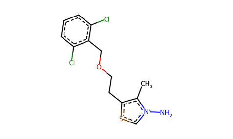 Cc1c(CCOCc2c(Cl)cccc2Cl)sc[n+]1N